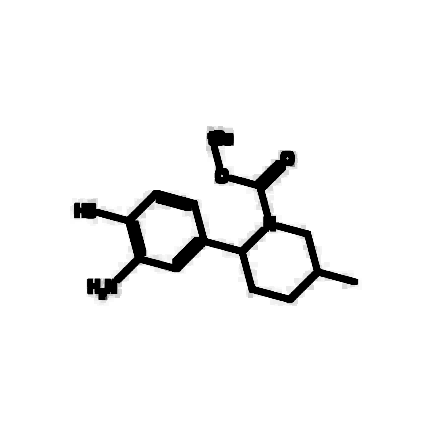 CC1CCC(c2ccc(S)c(N)c2)N(C(=O)OC(C)(C)C)C1